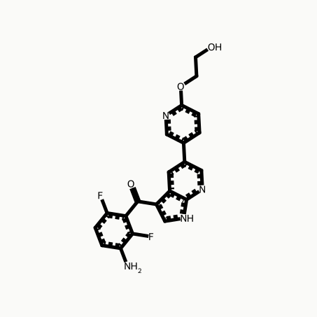 Nc1ccc(F)c(C(=O)c2c[nH]c3ncc(-c4ccc(OCCO)nc4)cc23)c1F